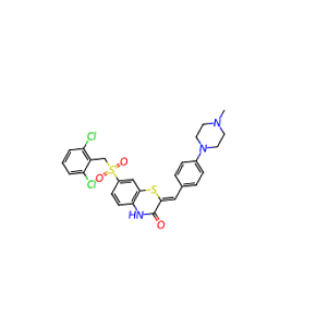 CN1CCN(c2ccc(C=C3Sc4cc(S(=O)(=O)Cc5c(Cl)cccc5Cl)ccc4NC3=O)cc2)CC1